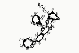 CC(=O)COc1cccc(CN(Cc2ccc(-c3ncccn3)cc2)S(=O)(=O)c2ccccn2)c1